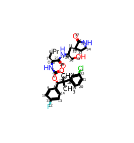 CC(C)C[C@H](NC(=O)OC(c1ccc(F)cc1)C(C)(C)c1cccc(Cl)c1)C(=O)N[C@H](CO)C[C@@H]1CCNC1=O